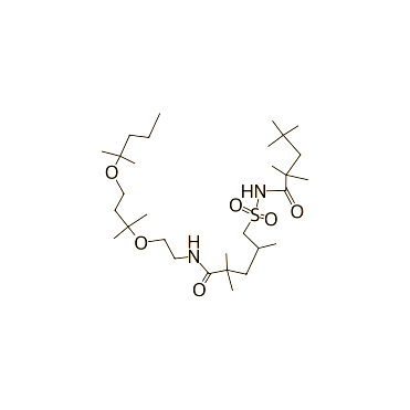 CCCC(C)(C)OCCC(C)(C)OCCNC(=O)C(C)(C)CC(C)CS(=O)(=O)NC(=O)C(C)(C)CC(C)(C)C